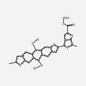 CCCCCCCCOC(=O)c1cc2c(-c3cc4cc5c(OCC)c6cc7sc(C)cc7cc6c(OCC)c5cc4s3)sc(C)c2s1